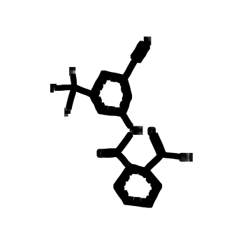 N#Cc1cc(NC(=O)c2ccccc2C(=O)O)cc(C(F)(F)F)c1